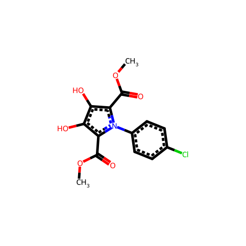 COC(=O)c1c(O)c(O)c(C(=O)OC)n1-c1ccc(Cl)cc1